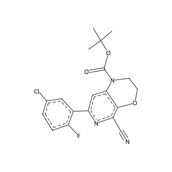 CC(C)(C)OC(=O)N1CCOc2c1cc(-c1cc(Cl)ccc1F)nc2C#N